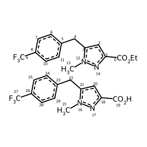 CCOC(=O)c1cc(Cc2ccc(C(F)(F)F)cc2)n(C)n1.Cn1nc(C(=O)O)cc1Cc1ccc(C(F)(F)F)cc1